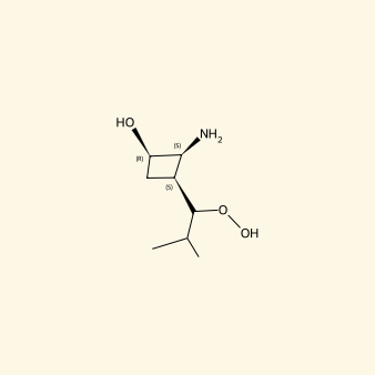 CC(C)C(OO)[C@H]1C[C@@H](O)[C@H]1N